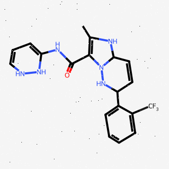 CC1=C(C(=O)NC2=CC=CNN2)N2NC(c3ccccc3C(F)(F)F)C=CC2N1